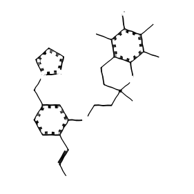 Cc1c(C)c2c(c(C)c1O)CCC(C)(CCOc1cc(Cn3cccn3)ccc1C=CC(=O)O)O2